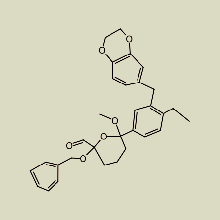 CCc1ccc(C2(OC)CCCC(C=O)(OCc3ccccc3)O2)cc1Cc1ccc2c(c1)OCCO2